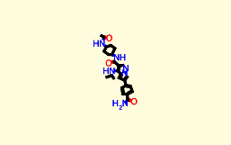 CC(=O)NC1CCC(NC(=O)c2cnn3cc(-c4ccc(C(N)=O)cc4)cc3c2NC(C)C)CC1